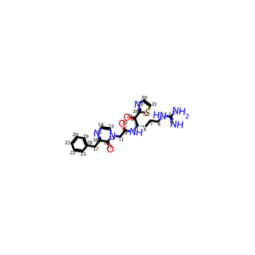 N=C(N)NCCC[C@H](NC(=O)Cn1ccnc(Cc2ccccc2)c1=O)C(=O)c1nccs1